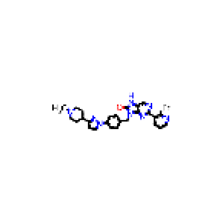 CC(C)c1ncccc1-c1ncc2[nH]c(=O)n(Cc3ccc(-n4ccc(C5CCN(C)CC5)n4)cc3)c2n1